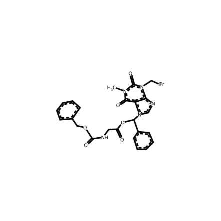 CC(C)Cn1c(=O)n(C)c(=O)c2c1ncn2C(OC(=O)CNC(=O)OCc1ccccc1)c1ccccc1